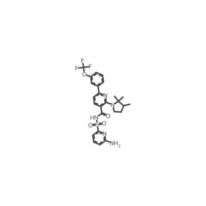 CC1CCN(c2nc(-c3cccc(OC(F)(F)F)c3)ccc2C(=O)NS(=O)(=O)c2cccc(N)n2)C1(C)C